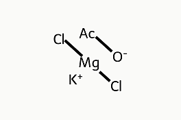 CC(=O)[O-].[Cl][Mg][Cl].[K+]